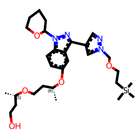 C[C@H](CCO[C@@H](C)CCO)Oc1ccc2c(c1)c(-c1cnn(COCC[Si](C)(C)C)c1)nn2C1CCCCO1